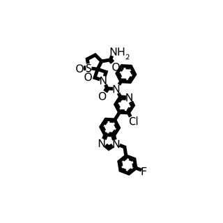 NC(=O)C1CCS(=O)(=O)C12CN(C(=O)N(c1ccccc1)c1cc(-c3ccc4ncn(Cc5cccc(F)c5)c4c3)c(Cl)cn1)C2